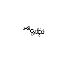 O=C(NCC(F)(F)c1ncc(-n2cc(Cl)cn2)cc1Cl)c1cccnc1C(F)(F)F